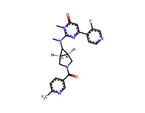 CN(c1nc(-c2ccncc2F)cc(=O)n1C)C1[C@H]2CN(C(=O)c3ccc(C(F)(F)F)nc3)C[C@@H]12